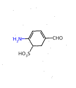 NC1=CC=C(C=O)CC1S(=O)(=O)O